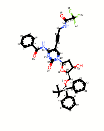 CC(C)(C)[Si](OC[C@H]1O[C@@H](n2cc(C#CCNC(=O)C(F)(F)F)c(NC(=O)c3ccccc3)nc2=O)CC1O)(c1ccccc1)c1ccccc1